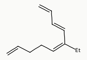 C=CC=CC(=CCCC=C)CC